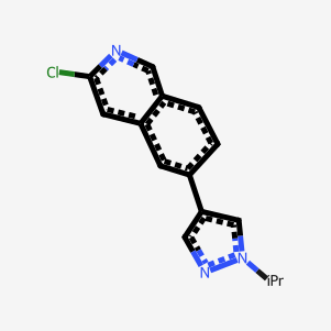 CC(C)n1cc(-c2ccc3cnc(Cl)cc3c2)cn1